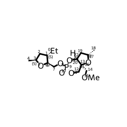 CC[C@H]1C[C@H](C)O[C@@H]1COP1(=O)OC[C@]2(COC)O[C@@H](C)C[C@@H]2O1